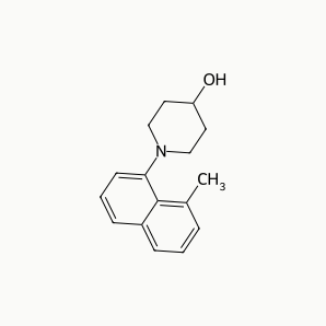 Cc1cccc2cccc(N3CCC(O)CC3)c12